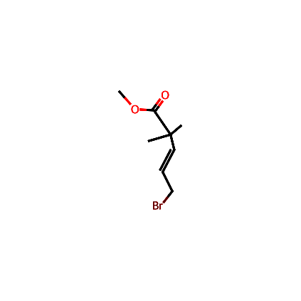 COC(=O)C(C)(C)/C=C/CBr